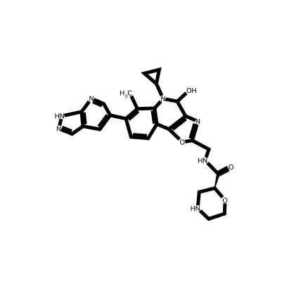 Cc1c(-c2cnc3[nH]ncc3c2)ccc2c1N(C1CC1)C(O)c1nc(CNC(=O)[C@@H]3CNCCO3)oc1-2